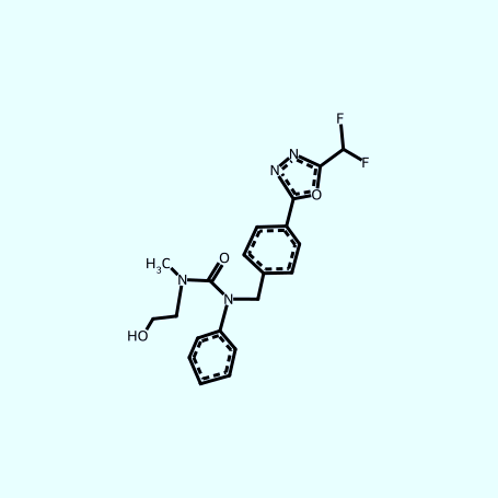 CN(CCO)C(=O)N(Cc1ccc(-c2nnc(C(F)F)o2)cc1)c1ccccc1